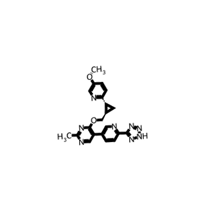 COc1ccc([C@@H]2C[C@H]2COc2nc(C)ncc2-c2ccc(-c3nn[nH]n3)nc2)nc1